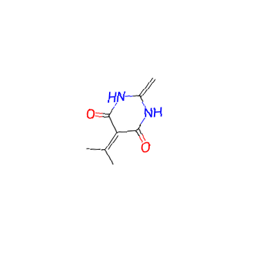 C=c1[nH]c(=O)c(=C(C)C)c(=O)[nH]1